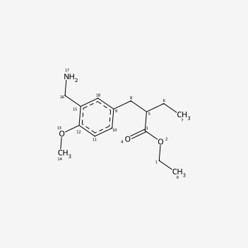 CCOC(=O)C(CC)Cc1ccc(OC)c(CN)c1